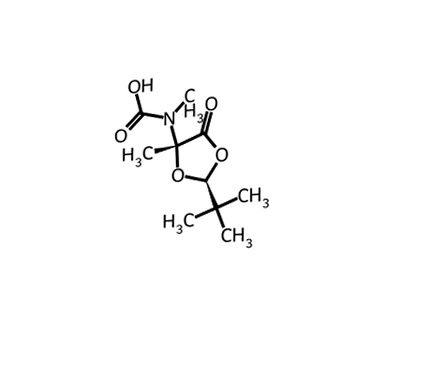 CN(C(=O)O)[C@@]1(C)O[C@H](C(C)(C)C)OC1=O